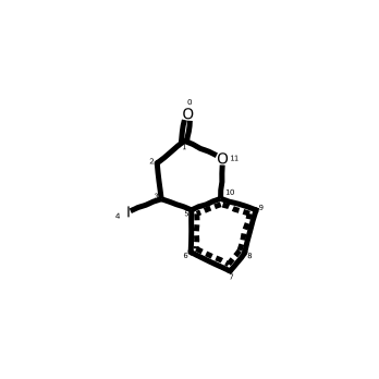 O=C1CC(I)c2ccccc2O1